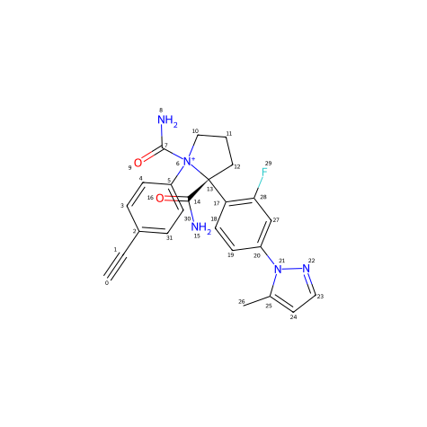 C#Cc1ccc([N+]2(C(N)=O)CCC[C@]2(C(N)=O)c2ccc(-n3nccc3C)cc2F)cc1